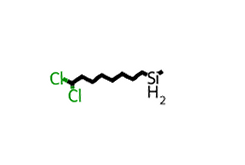 C[SiH2]CCCCCCCC(Cl)Cl